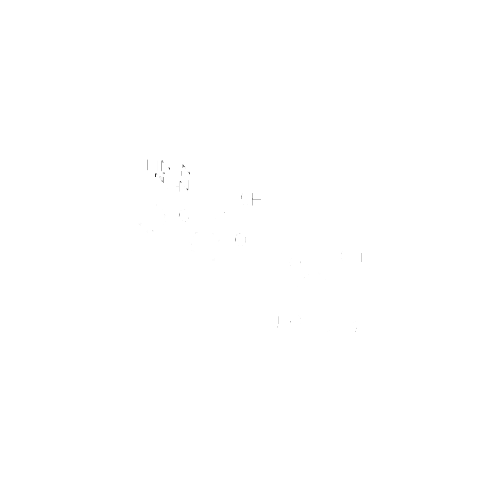 CCCc1c(OCCCOc2cc(O)c(-c3ccccc3)cc2CC)cccc1Oc1ccccc1-c1nn[nH]n1